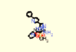 CNC(=O)N1C2CCC1CC(c1nc3c(-c4ccc(-c5ccccc5)nc4)cnn3c(N)c1S(C)(=O)=O)C2